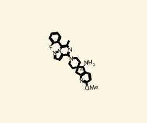 COc1ccc2c(n1)CC1(CCN(c3nc(C)c(-c4ccccc4F)n4nccc34)CC1)[C@@H]2N